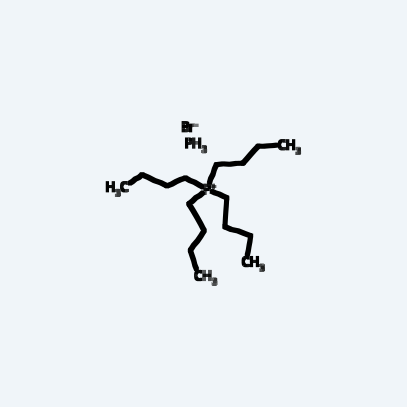 CCCC[P+](CCCC)(CCCC)CCCC.P.[Br-]